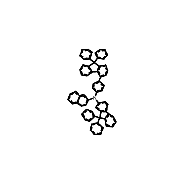 c1ccc(C2(c3ccccc3)c3ccccc3-c3ccc(N(c4ccc(-c5cccc6c5-c5ccccc5C6(c5ccccc5)c5ccccc5)cc4)c4ccc5ccccc5c4)cc32)cc1